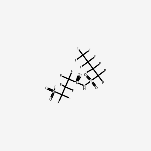 O=S(=O)(F)C(F)(F)C(F)(F)C(F)(F)S(=O)(=O)NS(=O)(=O)C(F)(F)C(F)(F)C(F)(F)C(F)(F)F